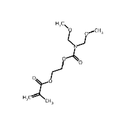 C=C(C)C(=O)OCCOC(=O)N(COC)COC